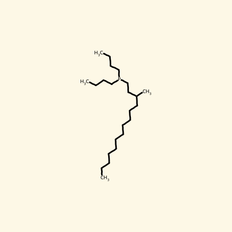 CCCCCCCCCCCC(C)CCP(CCCC)CCCC